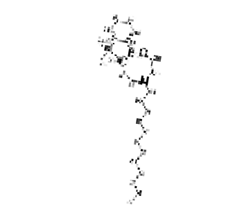 CCCCCCCCCCCCN1CCOB(c2ccccc2C(C)(C)C)OCC1